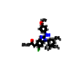 COC(=O)Cc1cc2nc(Nc3ccc(OC(C)C)cc3)n([C@@H]3C[C@H](C)CC(C)(C)C3)c2cc1F